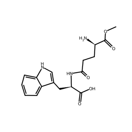 COC(=O)[C@H](N)CCC(=O)N[C@H](Cc1c[nH]c2ccccc12)C(=O)O